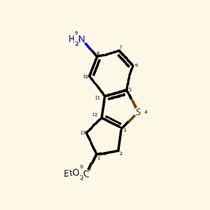 CCOC(=O)C1Cc2sc3ccc(N)cc3c2C1